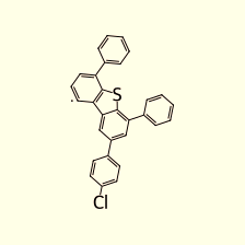 Clc1ccc(-c2cc(-c3ccccc3)c3sc4c(-c5ccccc5)cc[c]c4c3c2)cc1